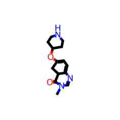 CN1C=NC2=CC=C(OC3CCNCC3)CC2C1=O